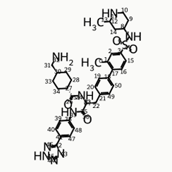 Cc1cc(S(=O)(=O)NC2CCNC(C)C2)ccc1-c1ccc(C[C@H](NC(=O)[C@H]2CC[C@H](CN)CC2)C(=O)Nc2ccc(-c3nn[nH]n3)cc2)cc1